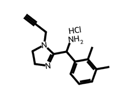 C#CCN1CCN=C1C(N)c1cccc(C)c1C.Cl